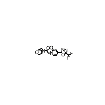 O=C(Cn1ccc(-c2nnc(C(F)F)o2)cc1=O)N1CC2CC1CO2